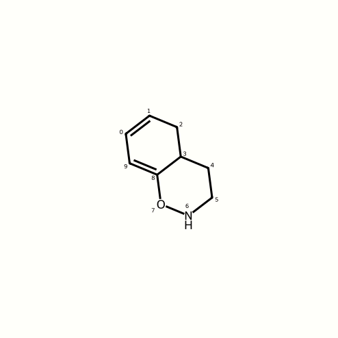 C1=CCC2CCNOC2=C1